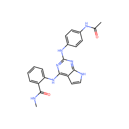 CNC(=O)c1ccccc1Nc1nc(Nc2ccc(NC(C)=O)cc2)nc2[nH]ccc12